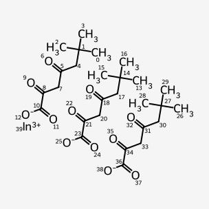 CC(C)(C)CC(=O)CC(=O)C(=O)[O-].CC(C)(C)CC(=O)CC(=O)C(=O)[O-].CC(C)(C)CC(=O)CC(=O)C(=O)[O-].[In+3]